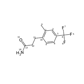 Cc1cc(C(F)(F)F)ccc1CCC(N)=O